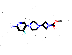 CC(C)(C)OC(=O)N1CC(N2CCN(c3cnc(N)cc3F)CC2)C1